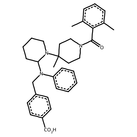 Cc1cccc(C)c1C(=O)N1CCC(C)(N2CCCCC2N(Cc2ccc(C(=O)O)cc2)c2ccccc2)CC1